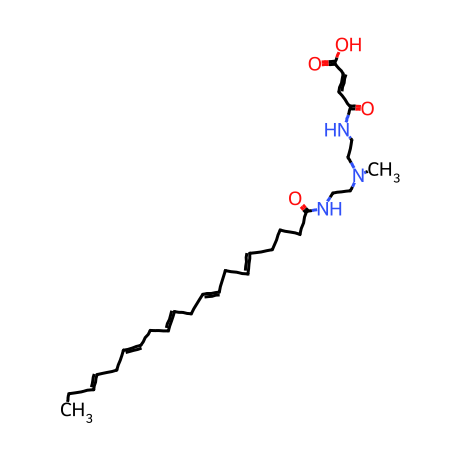 CCC=CCC=CCC=CCC=CCC=CCCCC(=O)NCCN(C)CCNC(=O)C=CC(=O)O